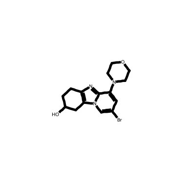 OC1CCc2nc3c(N4CCOCC4)cc(Br)cn3c2C1